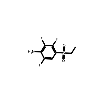 CCS(=O)(=O)c1cc(F)c(N)c(F)c1F